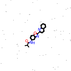 CC(C)C(=O)Nc1ccc2oc(-c3ccc4ccccc4n3)nc2c1